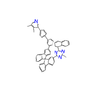 Cc1nc(-c2ccc3c(c2)C2(c4ccccc4-c4cc(-c5cccc(-c6ccc(-c7cncc(C)c7C)cc6)c5)ccc42)c2ccccc2-3)nc(-c2cccc3ccccc23)n1